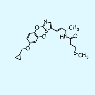 CSCCC(=O)N[C@@H](C)/C=C/c1cnc(Oc2ccc(OCC3CC3)cc2Cl)s1